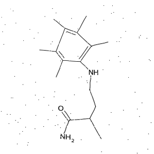 Cc1c(C)c(C)c(NCCC(C)C(N)=O)c(C)c1C